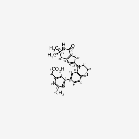 Cc1nc(CC(=O)O)cc(-c2ccc3c(c2)N(c2nc4c(s2)C(=O)NC(C)(C)C4)CCO3)n1